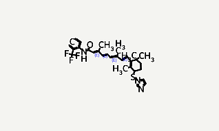 CC1=C(/C=C/C(C)=C/C=C/C(C)=C/C(=O)Nc2ccccc2C(F)(F)F)C(C)(C)CCC1Sn1ccnc1